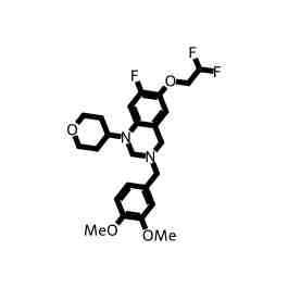 COc1ccc(CN2Cc3cc(OCC(F)F)c(F)cc3N(C3CCOCC3)C2)cc1OC